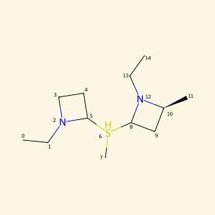 CCN1CCC1[SH](C)C1C[C@H](C)N1CC